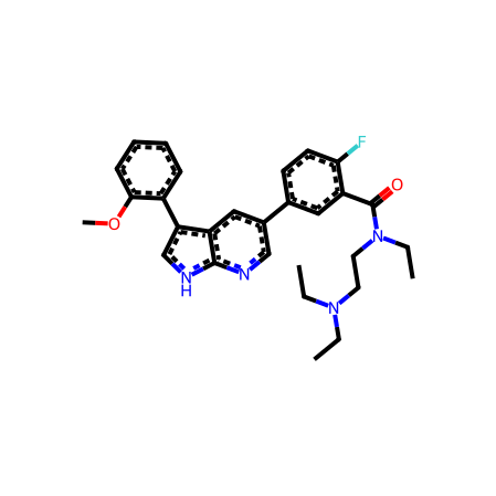 CCN(CC)CCN(CC)C(=O)c1cc(-c2cnc3[nH]cc(-c4ccccc4OC)c3c2)ccc1F